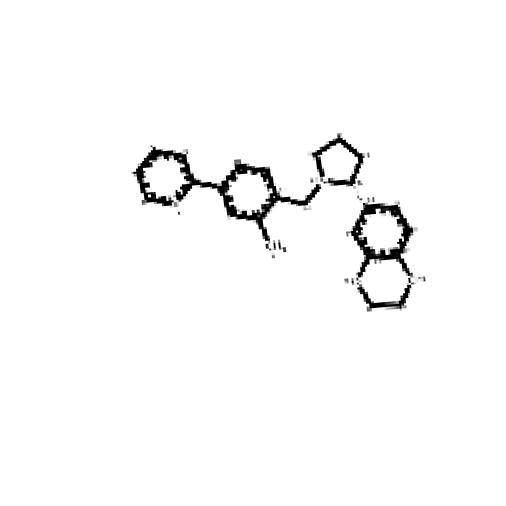 Cc1cc(-c2ccccn2)ccc1CN1CCC[C@@H]1c1ccc2c(c1)OCCO2